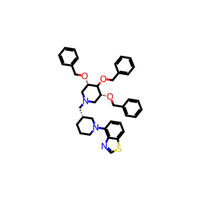 c1ccc(COC2[C@@H](OCc3ccccc3)CN(C[C@H]3CCCN(c4cccc5scnc45)C3)C[C@H]2OCc2ccccc2)cc1